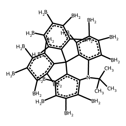 Bc1c(B)c(B)c(C2(c3c(B)c(B)c(B)c(B)c3B)c3c(B)c(B)c(B)c(B)c3N(C(C)(C)C)c3c(B)c(B)c(B)c(B)c32)c(B)c1B